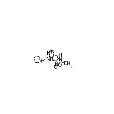 CCNc1cc2ncnc(NCCN3CCCCC3)c2cc1[N+](=O)[O-]